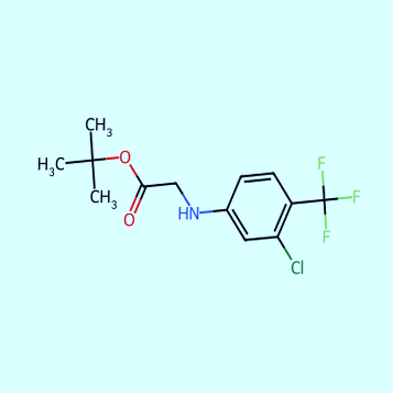 CC(C)(C)OC(=O)CNc1ccc(C(F)(F)F)c(Cl)c1